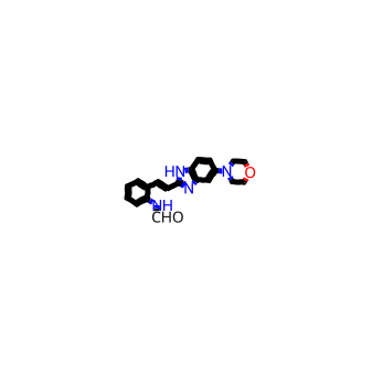 O=CNc1ccccc1/C=C/c1nc2cc(N3CCOCC3)ccc2[nH]1